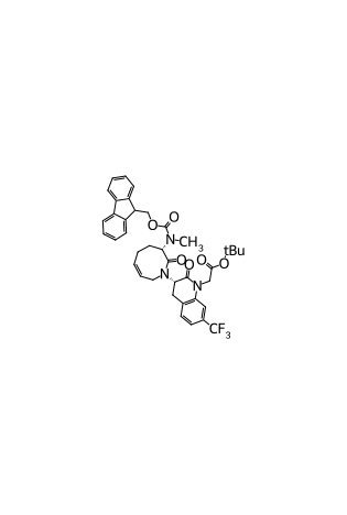 CN(C(=O)OCC1c2ccccc2-c2ccccc21)[C@H]1CC/C=C\CN([C@H]2Cc3ccc(C(F)(F)F)cc3N(CC(=O)OC(C)(C)C)C2=O)C1=O